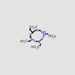 O=C(O)CC1CCCNN(CC(=O)O)CCN(CC(=O)O)CCN(CC(=O)O)CC1